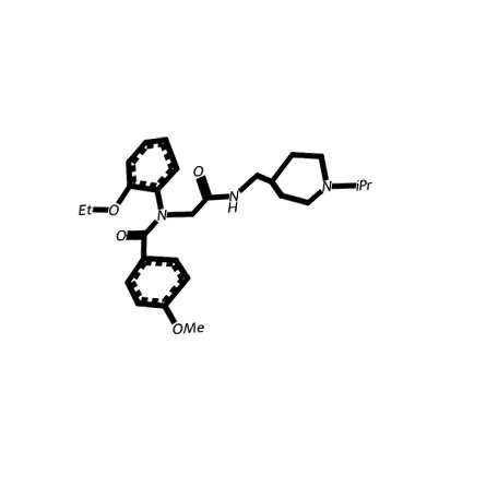 CCOc1ccccc1N(CC(=O)NCC1CCN(C(C)C)CC1)C(=O)c1ccc(OC)cc1